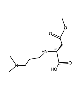 COC(=O)C[C@H](NCCCN(C)C)C(=O)O